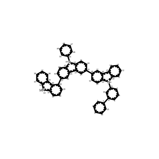 c1ccc(-c2cccc(-n3c4ccccc4c4cc(-c5ccc6c(c5)c5cc(-c7cccc8[nH]c9ccccc9c78)ccc5n6-c5ccccc5)ccc43)c2)cc1